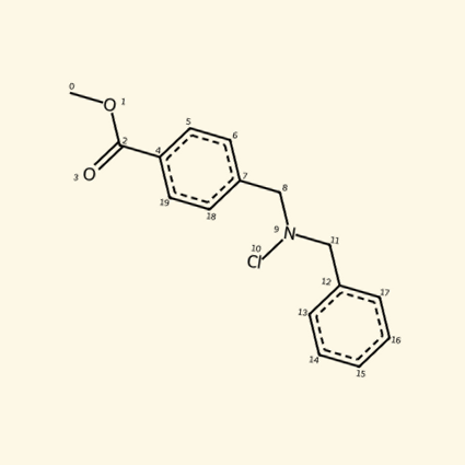 COC(=O)c1ccc(CN(Cl)Cc2ccccc2)cc1